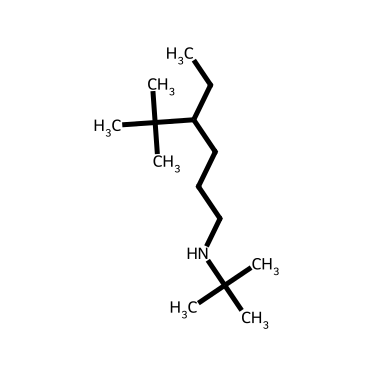 CCC(CCCNC(C)(C)C)C(C)(C)C